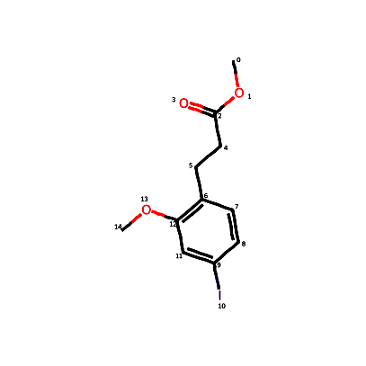 COC(=O)CCc1ccc(I)cc1OC